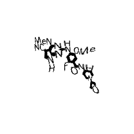 CNc1nc(Nc2cc(F)c(C(=O)NC3CCN(C4COC4)CC3)cc2OC)nc2[nH]cc(C#N)c12